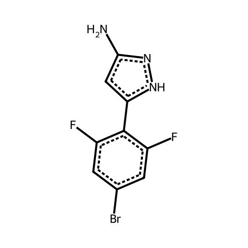 Nc1cc(-c2c(F)cc(Br)cc2F)[nH]n1